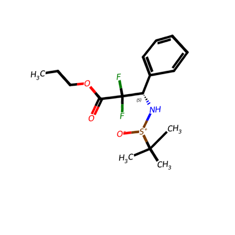 CCCOC(=O)C(F)(F)[C@@H](N[S+]([O-])C(C)(C)C)c1ccccc1